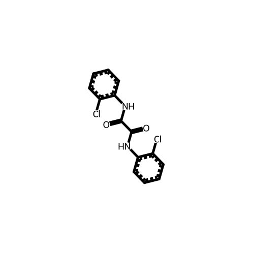 O=C(Nc1ccccc1Cl)C(=O)Nc1ccccc1Cl